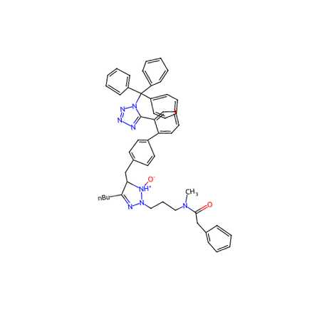 CCCCC1=NN(CCCN(C)C(=O)Cc2ccccc2)[NH+]([O-])C1Cc1ccc(-c2ccccc2-c2nnnn2C(c2ccccc2)(c2ccccc2)c2ccccc2)cc1